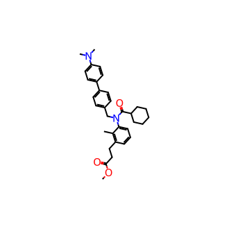 COC(=O)CCc1cccc(N(Cc2ccc(-c3ccc(N(C)C)cc3)cc2)C(=O)C2CCCCC2)c1C